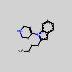 O=CCCCc1cc2ccccc2n1C1=CCNCC1